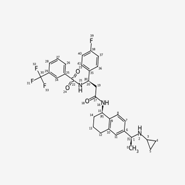 C[C@H](NC1CC1)c1ccc2c(c1)CCC[C@H]2NC(=O)C[C@@H](NS(=O)(=O)c1cccc(C(F)(F)F)c1)c1ccc(F)cc1